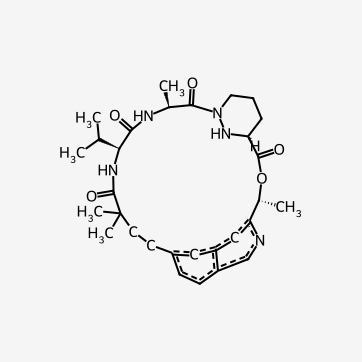 CC(C)[C@@H]1NC(=O)C(C)(C)CCc2ccc3cnc(cc3c2)[C@@H](C)OC(=O)[C@@H]2CCCN(N2)C(=O)[C@H](C)NC1=O